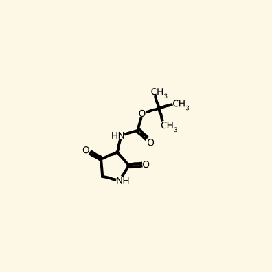 CC(C)(C)OC(=O)NC1C(=O)CNC1=O